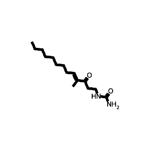 CCCCCCCC/C=C(\C)C(=O)CCNC(N)=O